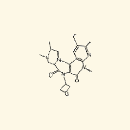 Cc1nc2c(cc1F)c1c(c(=O)n2C)N(C2COC2)C(=O)C2CN(C)C(C)CN12